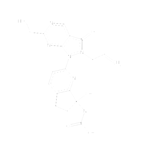 C=CCn1c(=O)c2cnc(SC)nc2n1-c1ccc2c(n1)C(C)(NC(C)=O)CC2